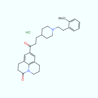 COc1ccccc1CCN1CCC(CCC(=O)c2cc3c4c(c2)CCC(=O)N4CCC3)CC1.Cl